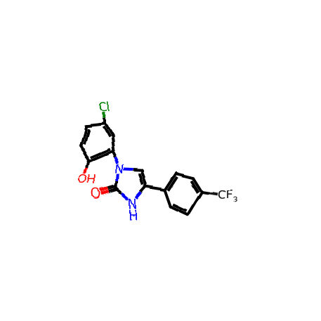 O=c1[nH]c(-c2ccc(C(F)(F)F)cc2)cn1-c1cc(Cl)ccc1O